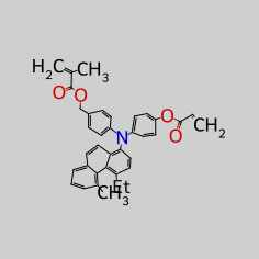 C=CC(=O)Oc1ccc(N(c2ccc(COC(=O)C(=C)C)cc2)c2ccc(CC)c3c2ccc2cccc(C)c23)cc1